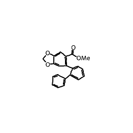 COC(=O)c1cc2c(cc1-c1ccccc1-c1ccccc1)OCO2